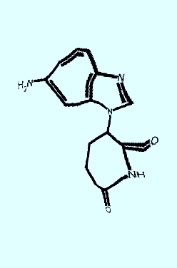 Nc1ccc2ncn(C3CCC(=O)NC3=O)c2c1